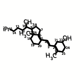 CC1=C(C=CC2=C3CCC(C(C)CCCC(C)C)C3(C)CCC2)CC(O)CC1